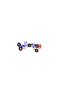 O=C(Cn1c2ccccc2c2ccccc21)NSc1ccc(CN(CCSc2ccccc2)Cc2ccc3c(c2)OCO3)cc1